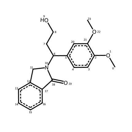 COc1ccc(C(CCO)N2Cc3ccccc3C2=O)cc1OC